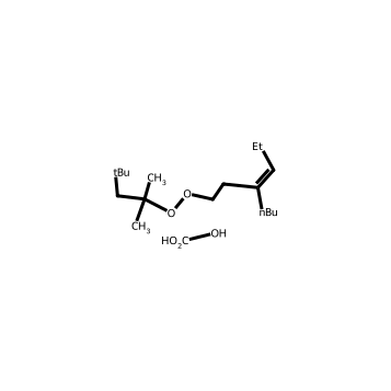 CCC=C(CCCC)CCOOC(C)(C)CC(C)(C)C.O=C(O)O